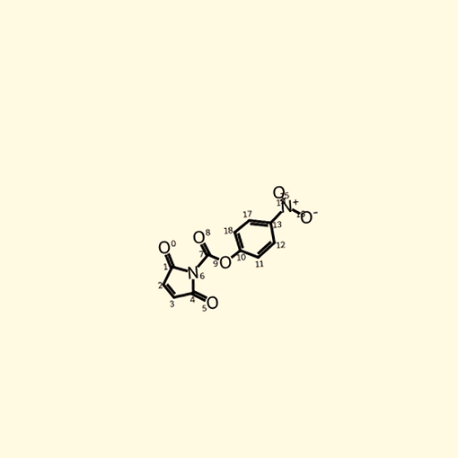 O=C1C=CC(=O)N1C(=O)Oc1ccc([N+](=O)[O-])cc1